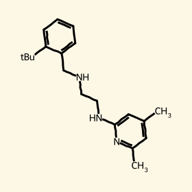 Cc1cc(C)nc(NCCNCc2ccccc2C(C)(C)C)c1